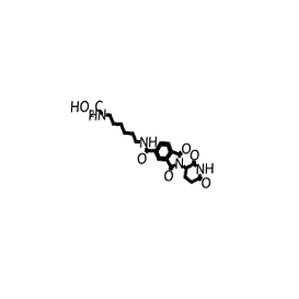 O=C(O)NCCCCCCNC(=O)c1ccc2c(c1)C(=O)N(C1CCC(=O)NC1=O)C2=O